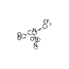 O=C(c1cc(C#Cc2cccc(C(F)(F)F)c2)nc2ccc(-c3ccc4c(c3)OCO4)cc12)N1CCC[C@H]1CN1CCCC1